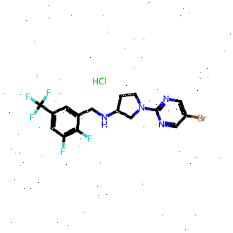 Cl.Fc1cc(C(F)(F)F)cc(CNC2CCN(c3ncc(Br)cn3)C2)c1F